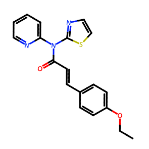 CCOc1ccc(/C=C/C(=O)N(c2ccccn2)c2nccs2)cc1